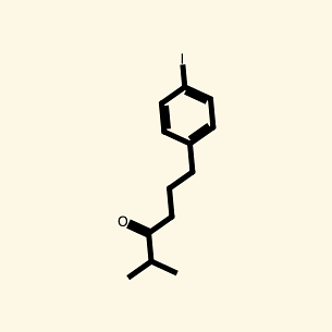 CC(C)C(=O)CCCc1ccc(I)cc1